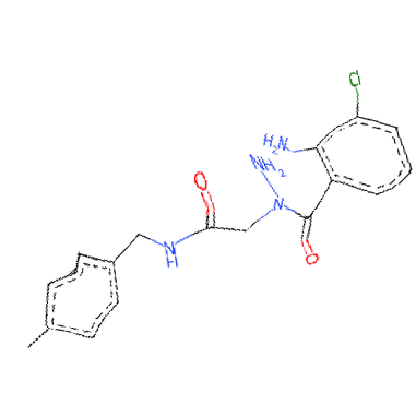 Cc1ccc(CNC(=O)CN(N)C(=O)c2cccc(Cl)c2N)cc1